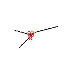 C#CC#CC#CC#CC#CC#CC#CC#CC#CC#CC#CSCC(=O)OC(COC(=O)CCCCCCCCCCCCCCC)COC(=O)CCCCCCCCCCCCCCC